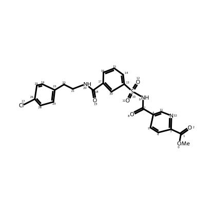 COC(=O)c1ccc(C(=O)NS(=O)(=O)c2cccc(C(=O)NCCc3ccc(Cl)cc3)c2)cn1